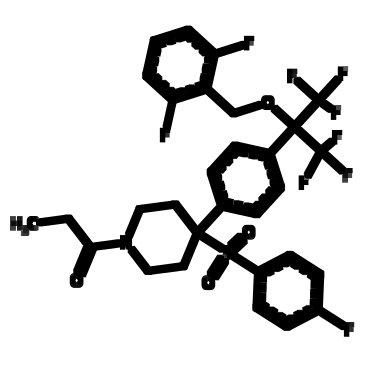 CCC(=O)N1CCC(c2ccc(C(OCc3c(F)cccc3F)(C(F)(F)F)C(F)(F)F)cc2)(S(=O)(=O)c2ccc(F)cc2)CC1